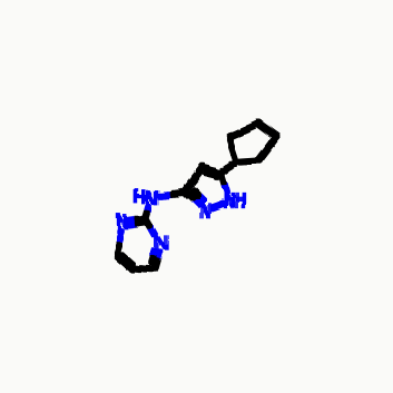 c1cnc(Nc2cc(C3CCCC3)[nH]n2)nc1